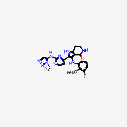 COc1c(F)cccc1Nc1c(-c2ccnc(Nc3cnnn3C)n2)[nH]c2c1C(=O)NCC2